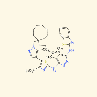 CCOC(=O)c1nc(Nc2nnc(Nc3nc4ccccc4s3)c(C)c2C)sc1-c1cnn(CC2(CCCOC)CCCCCCC2)c1C